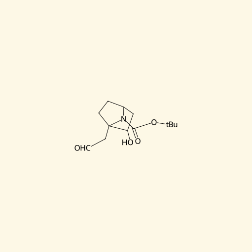 CC(C)(C)OC(=O)N1C2CCC1(CC=O)C(O)C2